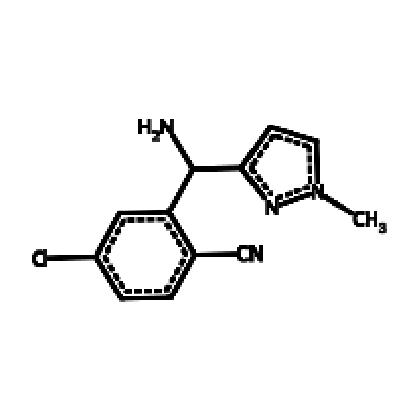 Cn1ccc(C(N)c2cc(Cl)ccc2C#N)n1